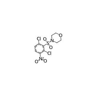 O=[N+]([O-])c1ccc(Cl)c(S(=O)(=O)N2CCOCC2)c1Cl